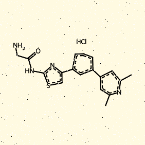 Cc1cc(-c2cccc(-c3csc(NC(=O)CN)n3)c2)cc(C)n1.Cl